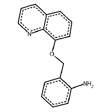 Nc1ccccc1COc1cccc2cccnc12